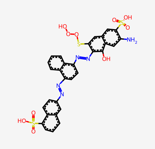 Nc1cc2c(O)c(N=Nc3ccc(N=Nc4ccc5c(S(=O)(=O)O)cccc5c4)c4ccccc34)c(SOOO)cc2cc1S(=O)(=O)O